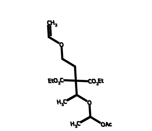 C=COCCC(C(=O)OCC)(C(=O)OCC)C(C)OC(C)OC(C)=O